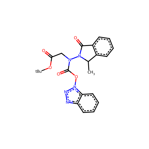 CC1c2ccccc2C(=O)N1N(CC(=O)OC(C)(C)C)C(=O)On1nnc2ccccc21